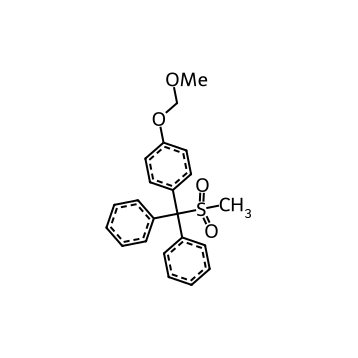 COCOc1ccc(C(c2ccccc2)(c2ccccc2)S(C)(=O)=O)cc1